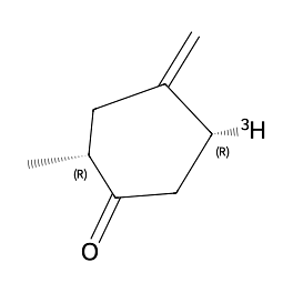 [3H][C@@H]1CC(=O)[C@H](C)CC1=C